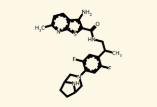 Cc1ccc2c(N)c(C(=O)NCC(C)c3cc(F)c(N4CC5CCC(C4)N5)cc3F)sc2n1